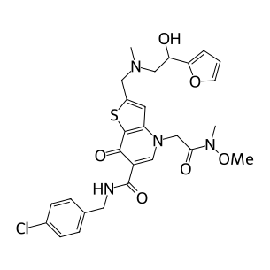 CON(C)C(=O)Cn1cc(C(=O)NCc2ccc(Cl)cc2)c(=O)c2sc(CN(C)CC(O)c3ccco3)cc21